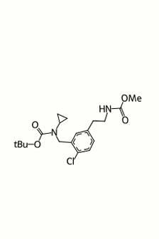 COC(=O)NCCc1ccc(Cl)c(CN(C(=O)OC(C)(C)C)C2CC2)c1